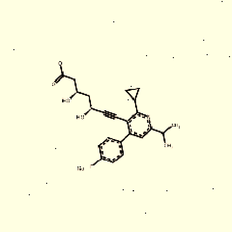 CC(C)c1cc(-c2ccc(F)cc2)c(C#C[C@@H](O)C[C@@H](O)CC(=O)[O-])c(C2CC2)n1.[Na+]